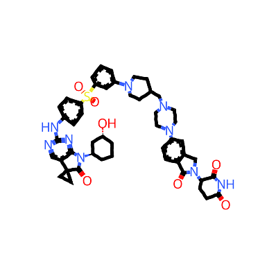 O=C1CCC(N2Cc3cc(N4CCN(CC5CCN(c6cccc(S(=O)(=O)c7ccc(Nc8ncc9c(n8)N([C@@H]8CCC[C@@H](O)C8)C(=O)C98CC8)cc7)c6)CC5)CC4)ccc3C2=O)C(=O)N1